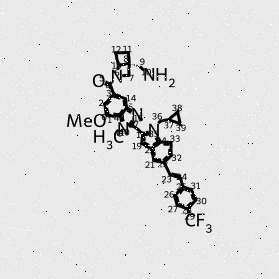 COc1cc(C(=O)N2C[C@]3(CN)CCC23)cc2nc(-c3cc4cc(/C=C/c5ccc(C(F)(F)F)cc5)ccc4n3CC3CC3)n(C)c12